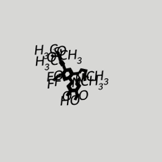 CC1(C)CCC2c3cc(C#CC(C)(C)S(C)(=O)=O)c(OC(F)(F)F)cc3-c3cc(=O)c(C(=O)O)cn3N21